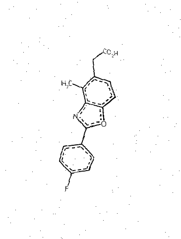 Cc1c(CC(=O)O)ccc2oc(-c3ccc(F)cc3)nc12